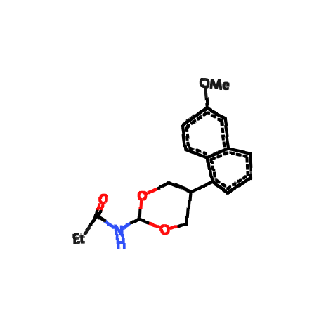 CCC(=O)NC1OCC(c2cccc3cc(OC)ccc23)CO1